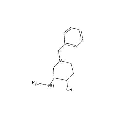 CNC1CN(Cc2ccccc2)CCC1O